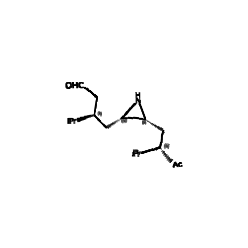 CC(=O)[C@@H](C[C@H]1N[C@H]1C[C@H](CC=O)C(C)C)C(C)C